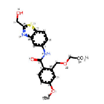 CC(C)(C)Oc1ccc(C(=O)Nc2ccc3sc(CO)nc3c2)c(COCC(=O)O)c1